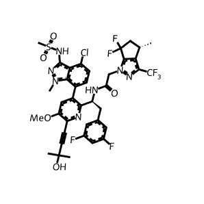 COc1cc(-c2ccc(Cl)c3c(NS(C)(=O)=O)nn(C)c23)c([C@H](Cc2cc(F)cc(F)c2)NC(=O)Cn2nc(C(F)(F)F)c3c2C(F)(F)C[C@@H]3C)nc1C#CC(C)(C)O